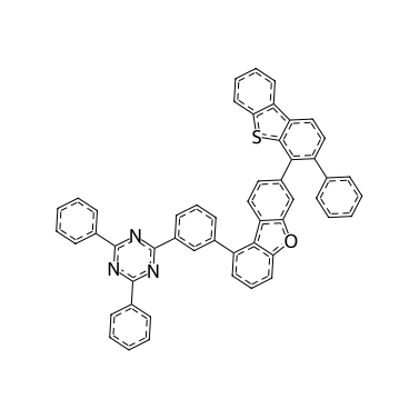 c1ccc(-c2nc(-c3ccccc3)nc(-c3cccc(-c4cccc5oc6cc(-c7c(-c8ccccc8)ccc8c7sc7ccccc78)ccc6c45)c3)n2)cc1